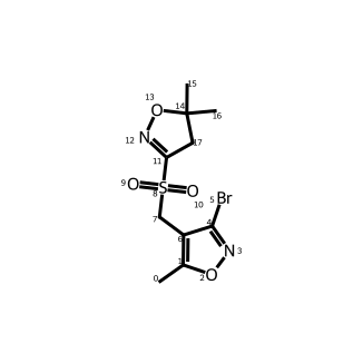 Cc1onc(Br)c1CS(=O)(=O)C1=NOC(C)(C)C1